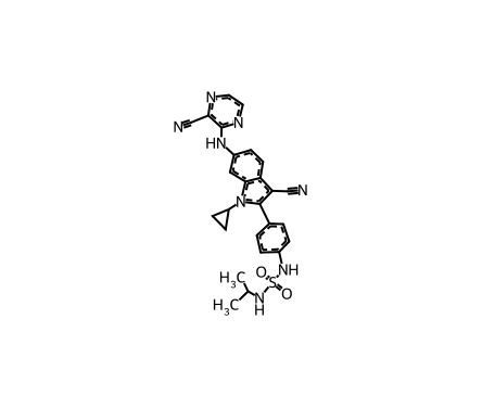 CC(C)NS(=O)(=O)Nc1ccc(-c2c(C#N)c3ccc(Nc4nccnc4C#N)cc3n2C2CC2)cc1